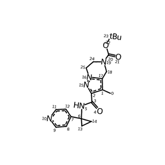 Cc1c(C(=O)NC2(c3ccncc3)CC2)nn2c1CN(C(=O)OC(C)(C)C)CC2